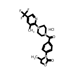 Cc1cc(C(F)(F)F)cnc1N1CCN(C(=O)c2ccc(N3C(=O)OCC3C)cc2)CC1.Cl